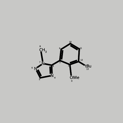 COc1c(-c2ncnn2C)cccc1C(C)(C)C